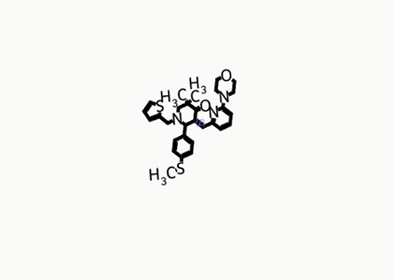 CSc1ccc(C2/C(=C/c3cccc(N4CCOCC4)n3)C(=O)C(C)(C)CN2Cc2cccs2)cc1